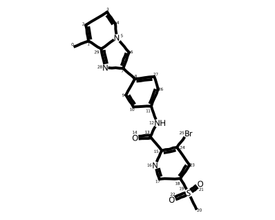 Cc1cccn2cc(-c3ccc(NC(=O)c4ncc(S(C)(=O)=O)cc4Br)cc3)nc12